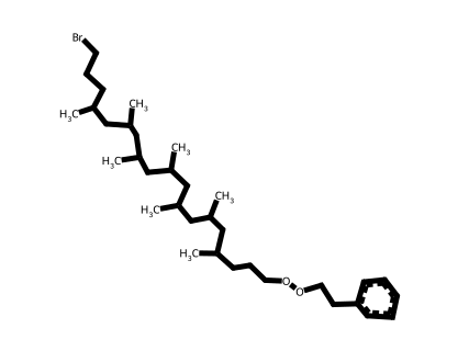 CC(CCCBr)CC(C)CC(C)CC(C)CC(C)CC(C)CC(C)CCCOOCCc1ccccc1